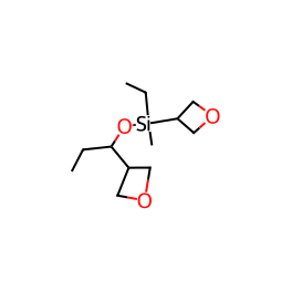 CCC(O[Si](C)(CC)C1COC1)C1COC1